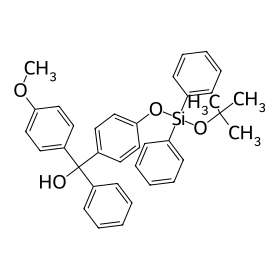 COc1ccc(C(O)(c2ccccc2)c2ccc(O[Si](OC(C)(C)C)(c3ccccc3)c3ccccc3)cc2)cc1